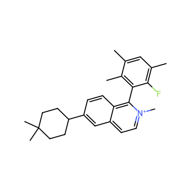 Cc1cc(C)c(F)c(-c2c3ccc(C4CCC(C)(C)CC4)cc3cc[n+]2C)c1C